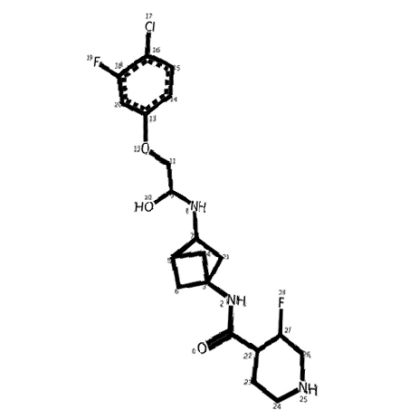 O=C(NC12CC(C1)C(NC(O)COc1ccc(Cl)c(F)c1)C2)C1CCNCC1F